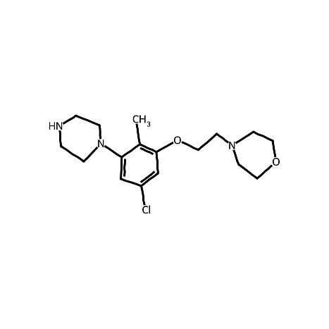 Cc1c(OCCN2CCOCC2)cc(Cl)cc1N1CCNCC1